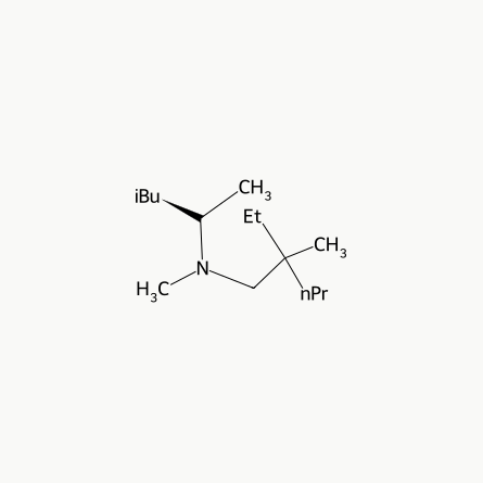 CCCC(C)(CC)CN(C)C(C)[C@H](C)CC